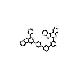 c1ccc(-c2nc(-c3ccc(-c4cccc(-c5cccc(-c6nc7ccncc7c7c6sc6ccccc67)c5)c4)cc3)nc3c2sc2ccccc23)cc1